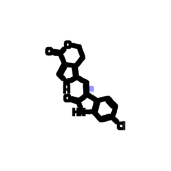 O=C1Nc2cc(Cl)ccc2/C1=C/c1[nH]cc2c1CCOC2=O